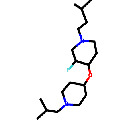 CC(C)CCN1CCC(OC2CCN(CC(C)C)CC2)C(F)C1